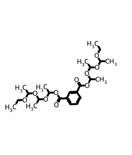 CCOC(C)OC(C)OC(C)OC(=O)c1cccc(C(=O)OC(C)OC(C)OC(C)OCC)c1